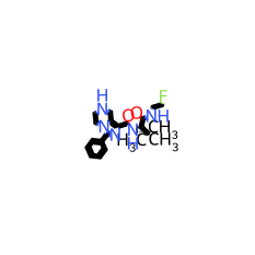 CC(C)(C)[C@H](NC(=O)c1nc(-c2ccccc2)n2c1CNCC2)C(=O)NCCF